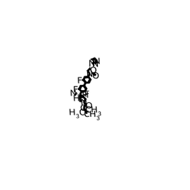 CC(C)(C)OC(=O)N1C[C@@H]2[C@H](C1)[C@@]2(C#N)c1c(F)cc(-c2ccc(N3C[C@H](Cn4ccnn4)OC3=O)cc2F)cc1F